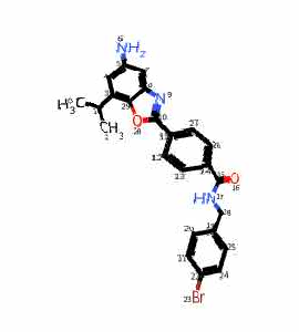 CC(C)c1cc(N)cc2nc(-c3ccc(C(=O)NCc4ccc(Br)cc4)cc3)oc12